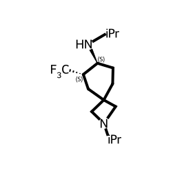 CC(C)N[C@H]1CCC2(C[C@@H]1C(F)(F)F)CN(C(C)C)C2